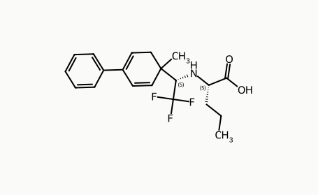 CCC[C@H](N[C@H](C(F)(F)F)C1(C)C=CC(c2ccccc2)=CC1)C(=O)O